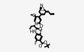 C=C/C=C(Cl)\C=C(/CC#N)c1cc(=O)n(C(CC)C(=O)Nc2cc(F)c(C(=O)OC(C)(C)C)cc2F)cc1OC